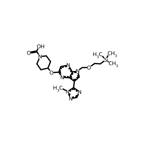 Cn1ncnc1-c1cn(COCC[Si](C)(C)C)c2ncc(OC3CCN(C(=O)O)CC3)nc12